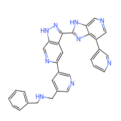 c1ccc(CNCc2cncc(-c3cc4c(-c5nc6c(-c7cccnc7)cncc6[nH]5)n[nH]c4cn3)c2)cc1